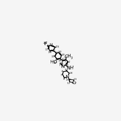 Cc1cc(NC2CCCN(C3COC3)C2)nnc1-c1ccc(-c2ccc(F)cc2)cc1O